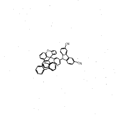 N#Cc1ccc2c(c1)c1cc(C#N)ccc1n2-c1cnc2c(c1)C1(c3ccccc3Oc3cccc(-n4c5ccccc5c5ccccc54)c31)c1cccnc1-2